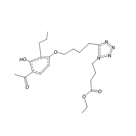 CCCc1c(OCCCCc2nnnn2CCCC(=O)OCC)ccc(C(C)=O)c1O